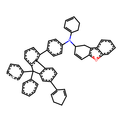 C1=CCCC(N(c2ccc(-c3cccc4c3-c3ccc(C5=CCCC=C5)cc3C4(c3ccccc3)c3ccccc3)cc2)C2C=Cc3oc4ccccc4c3C2)=C1